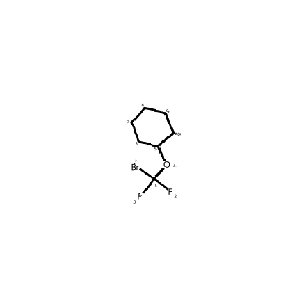 FC(F)(Br)OC1C[CH]CCC1